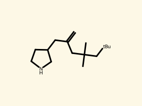 C=C(CC1CCNC1)CC(C)(C)CC(C)(C)C